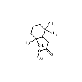 CCCCOC(=O)CN1C(C)(C)CCCC1(C)C